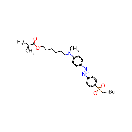 C=C(C)C(=O)OCCCCCCN(C)c1ccc(/N=N/c2ccc(S(=O)(=O)CC(C)CC)cc2)cc1